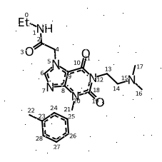 CCNC(=O)Cn1cnc2c1c(=O)n(CCN(C)C)c(=O)n2C.Cc1ccccc1